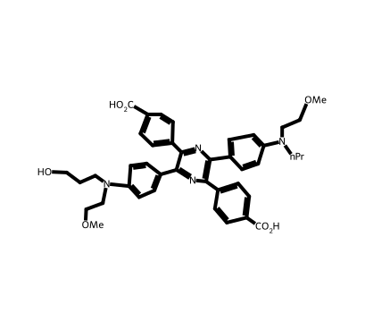 CCCN(CCOC)c1ccc(-c2nc(-c3ccc(C(=O)O)cc3)c(-c3ccc(N(CCCO)CCOC)cc3)nc2-c2ccc(C(=O)O)cc2)cc1